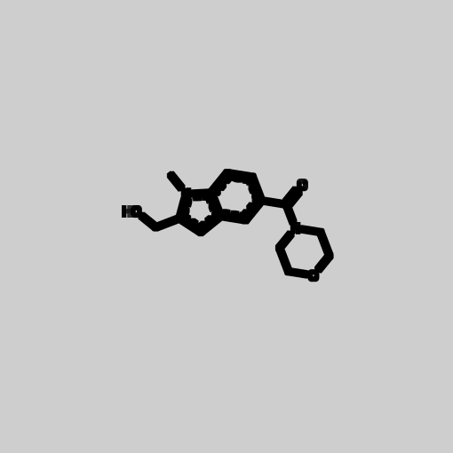 Cn1c(CO)cc2cc(C(=O)N3CCOCC3)ccc21